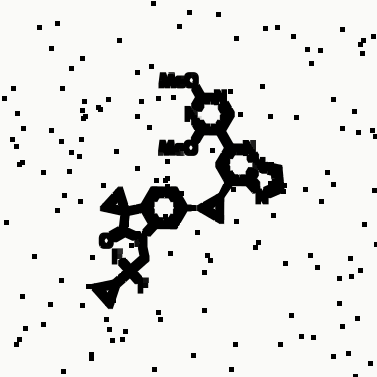 COc1ncc(-c2cc([C@H]3C[C@@H]3c3ccc4c(c3)N(CC(F)(F)C3CC3)C(=O)C43CC3)c3nccn3n2)c(OC)n1